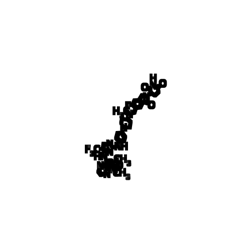 CN(Cc1cc2c(cc1F)CN(C1CCC(=O)NC1=O)C2=O)C1CCN(c2ccc(Nc3ncc(C(F)(F)F)c(NCc4nccnc4N(C)S(C)(=O)=O)n3)cc2)CC1